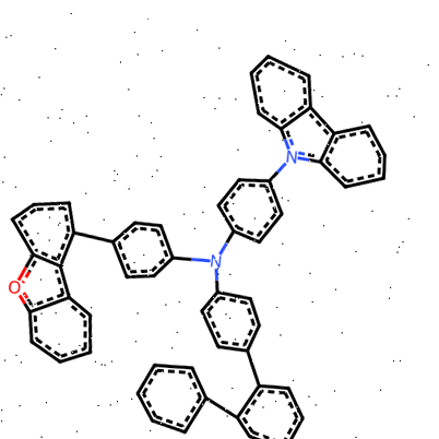 c1ccc(-c2ccccc2-c2ccc(N(c3ccc(-c4cccc5oc6ccccc6c45)cc3)c3ccc(-n4c5ccccc5c5ccccc54)cc3)cc2)cc1